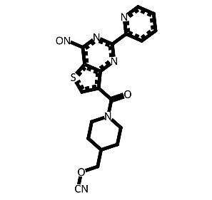 N#COCC1CCN(C(=O)c2csc3c(N=O)nc(-c4ccccn4)nc23)CC1